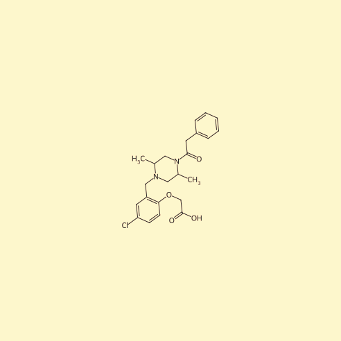 CC1CN(C(=O)Cc2ccccc2)C(C)CN1Cc1cc(Cl)ccc1OCC(=O)O